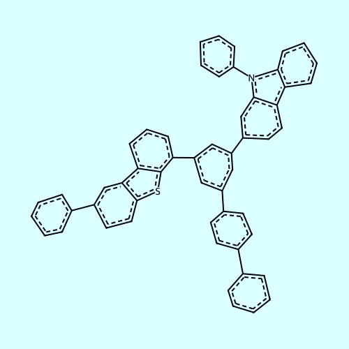 c1ccc(-c2ccc(-c3cc(-c4ccc5c6ccccc6n(-c6ccccc6)c5c4)cc(-c4cccc5c4sc4ccc(-c6ccccc6)cc45)c3)cc2)cc1